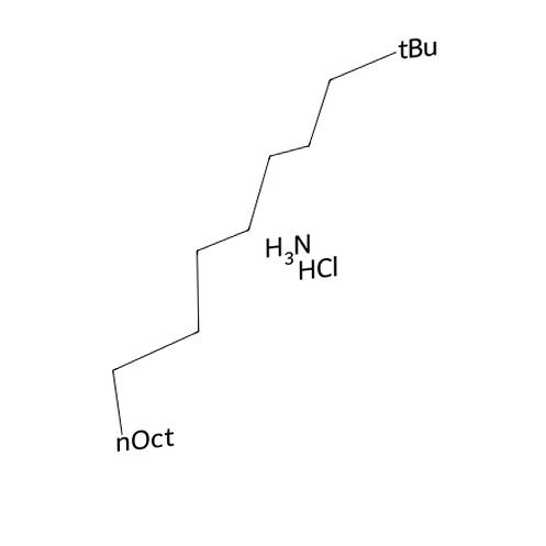 CCCCCCCCCCCCCCCC(C)(C)C.Cl.N